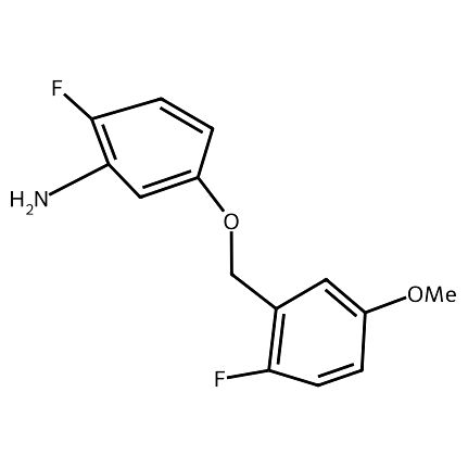 COc1ccc(F)c(COc2ccc(F)c(N)c2)c1